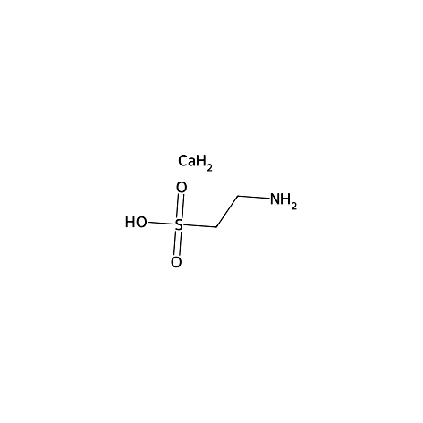 NCCS(=O)(=O)O.[CaH2]